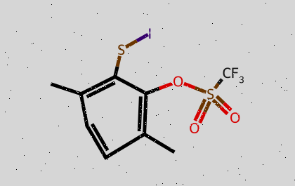 Cc1ccc(C)c(SI)c1OS(=O)(=O)C(F)(F)F